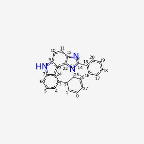 C1=CC2c3cccc4[nH]c5ccc6nc(-c7ccccc7)n(c6c5c34)C2C=C1